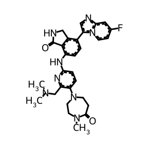 CN(C)Cc1nc(Nc2ccc(-c3cnc4cc(F)ccn34)c3c2C(=O)NC3)ccc1N1CCC(=O)N(C)CC1